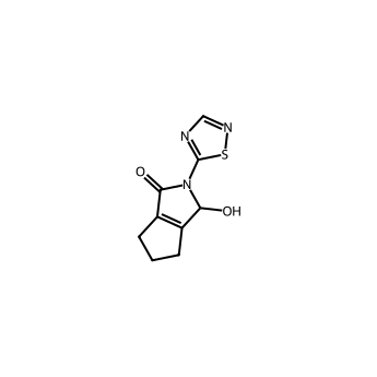 O=C1C2=C(CCC2)C(O)N1c1ncns1